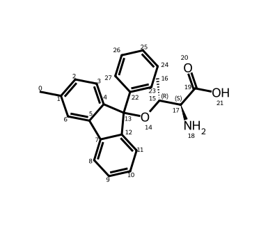 Cc1ccc2c(c1)-c1ccccc1C2(O[C@H](C)[C@H](N)C(=O)O)c1ccccc1